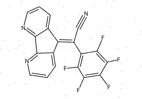 N#CC(=C1c2cccnc2-c2ncccc21)c1c(F)c(F)c(F)c(F)c1F